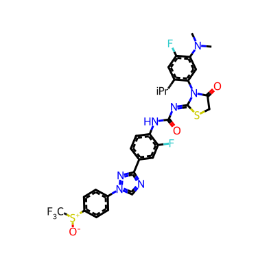 CC(C)c1cc(F)c(N(C)C)cc1N1C(=O)CS/C1=N\C(=O)Nc1ccc(-c2ncn(-c3ccc([S+]([O-])C(F)(F)F)cc3)n2)cc1F